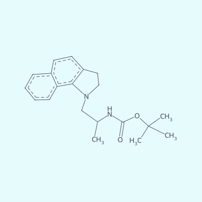 CC(CN1CCc2ccc3ccccc3c21)NC(=O)OC(C)(C)C